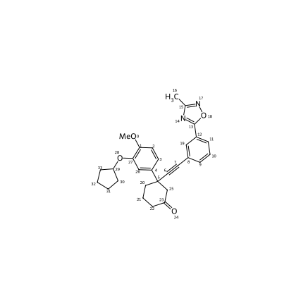 COc1ccc(C2(C#Cc3cccc(-c4nc(C)no4)c3)CCCC(=O)C2)cc1OC1CCCC1